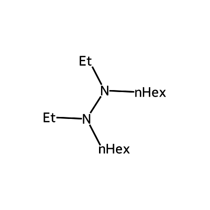 CCCCCCN(CC)N(CC)CCCCCC